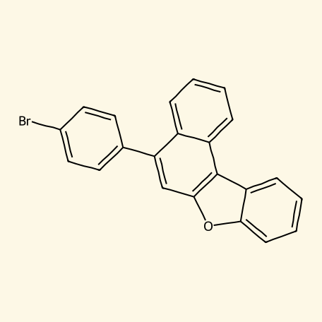 Brc1ccc(-c2cc3oc4ccccc4c3c3ccccc23)cc1